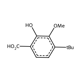 COc1c(C(C)(C)C)ccc(C(=O)O)c1O